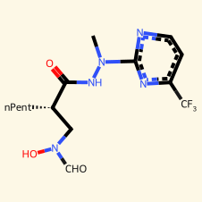 CCCCC[C@@H](CN(O)C=O)C(=O)NN(C)c1nccc(C(F)(F)F)n1